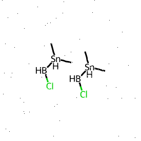 [CH3][SnH]([CH3])[BH]Cl.[CH3][SnH]([CH3])[BH]Cl